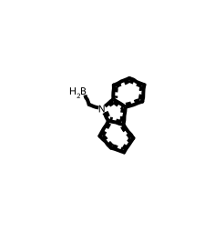 BCn1c2ccccc2c2ccccc21